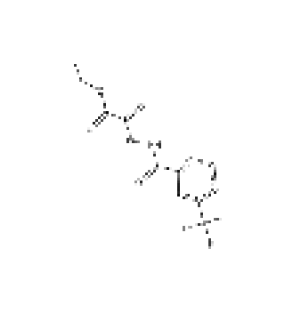 CCOC(=O)C(=O)NNC(=O)c1cccc(C(F)(F)F)c1